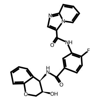 O=C(N[C@@H]1c2ccccc2OC[C@@H]1O)c1ccc(F)c(NC(=O)c2cnc3ccccn23)c1